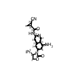 CC(C)[C@@H]1COC(=O)N1c1cc(N)c2cnc(NC(=O)C3CC3C#N)cc2c1